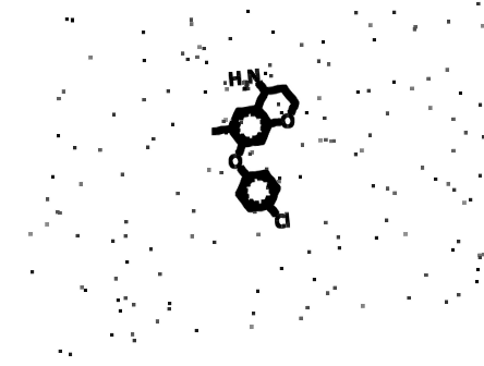 Cc1cc2c(cc1Oc1ccc(Cl)cc1)OCCC2N